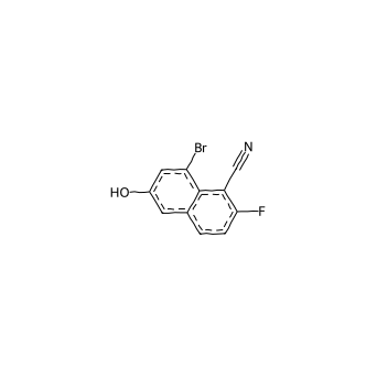 N#Cc1c(F)ccc2cc(O)cc(Br)c12